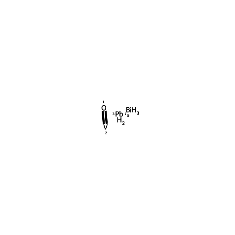 [BiH3].[O]=[V].[PbH2]